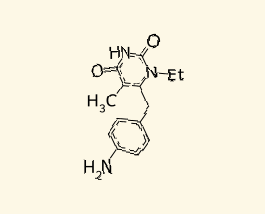 CCn1c(Cc2ccc(N)cc2)c(C)c(=O)[nH]c1=O